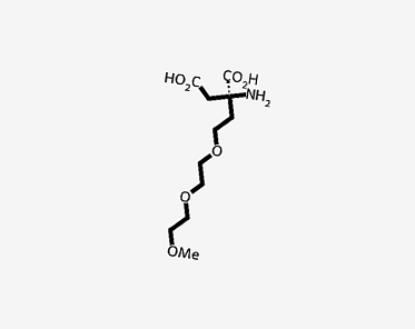 COCCOCCOCC[C@](N)(CC(=O)O)C(=O)O